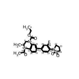 CCOC(=O)N1C[C@H](C)N(C(C)=O)c2ccc(-c3ccc(N4CCCS4(=O)=O)c(F)c3)cc21